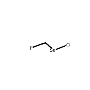 FC[Se]Cl